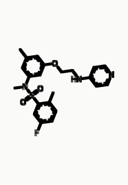 Cc1cc(OCCNc2ccncc2)cc(N(C)S(=O)(=O)c2cc(F)ccc2C)c1